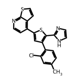 Cc1ccc(-c2cc(-c3ccnc4sccc34)sc2-c2ncc[nH]2)c(Cl)c1